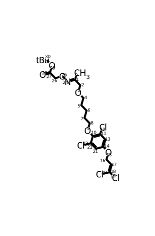 CC(COCCCCCOc1c(Cl)cc(OCC=C(Cl)Cl)cc1Cl)=NOCC(=O)OC(C)(C)C